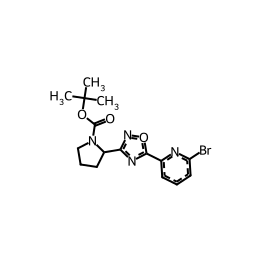 CC(C)(C)OC(=O)N1CCCC1c1noc(-c2cccc(Br)n2)n1